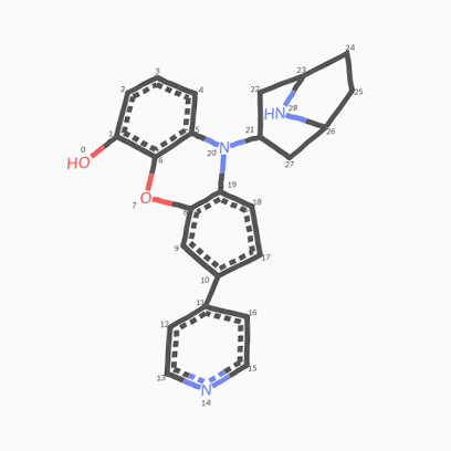 Oc1cccc2c1Oc1cc(-c3ccncc3)ccc1N2C1CC2CCC(C1)N2